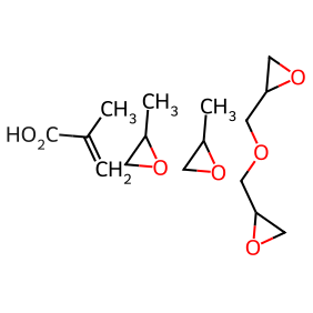 C(OCC1CO1)C1CO1.C=C(C)C(=O)O.CC1CO1.CC1CO1